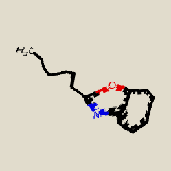 CCCCCc1nc2ccccc2o1